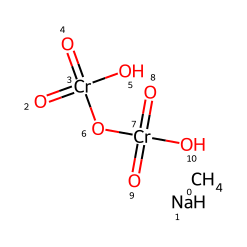 C.[NaH].[O]=[Cr](=[O])([OH])[O][Cr](=[O])(=[O])[OH]